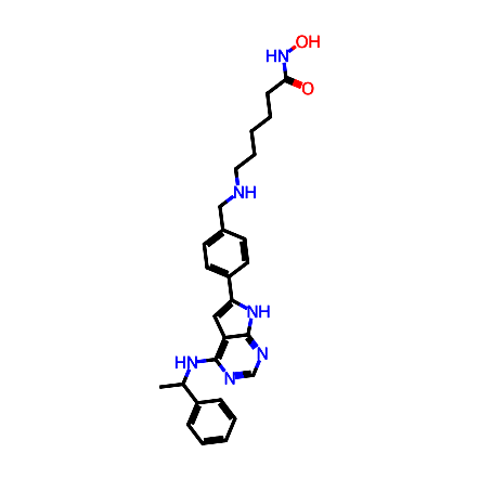 CC(Nc1ncnc2[nH]c(-c3ccc(CNCCCCCC(=O)NO)cc3)cc12)c1ccccc1